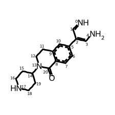 N=C/C(=C\N)c1ccc2c(c1)CCN(C1CCNCC1)C2=O